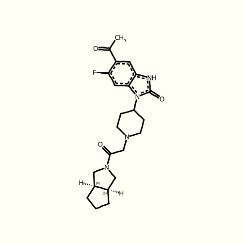 CC(=O)c1cc2[nH]c(=O)n(C3CCN(CC(=O)N4C[C@H]5CCC[C@H]5C4)CC3)c2cc1F